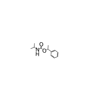 CC(C)NC(=O)OC(C)c1ccccc1